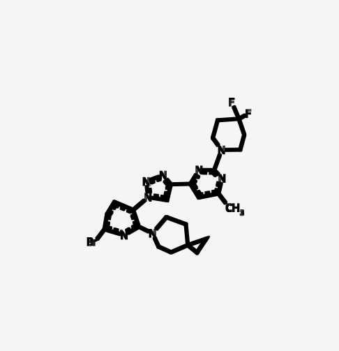 Cc1cc(-c2cn(-c3ccc(Br)nc3N3CCC4(CC3)CC4)nn2)nc(N2CCC(F)(F)CC2)n1